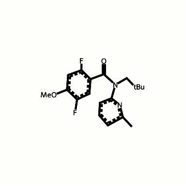 COc1cc(F)c(C(=O)N(CC(C)(C)C)c2cccc(C)n2)cc1F